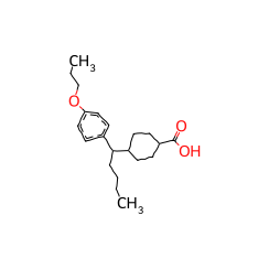 CCCCC(c1ccc(OCCC)cc1)C1CCC(C(=O)O)CC1